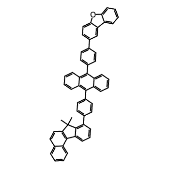 CC1(C)c2ccc3ccccc3c2-c2cccc(-c3ccc(-c4c5ccccc5c(-c5ccc(-c6ccc7oc8ccccc8c7c6)cc5)c5ccccc45)cc3)c21